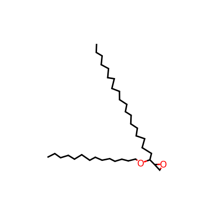 CCCCCCCCCCCCCCCCCCCC(OCCCCCCCCCCCCCC)C1CO1